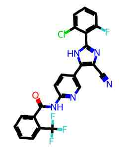 N#Cc1nc(-c2c(F)cccc2Cl)[nH]c1-c1ccc(NC(=O)c2ccccc2C(F)(F)F)nc1